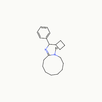 CCN1CCCCCCCCC1=NC(c1ccccc1)C1CCC1